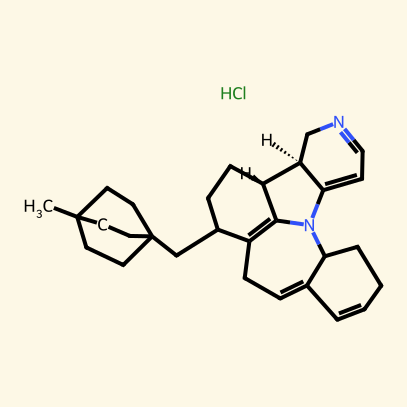 CC12CCC(CC3CC[C@H]4C5=C3CC=C3C=CCCC3N5C3=CC=NC[C@@H]34)(CC1)CC2.Cl